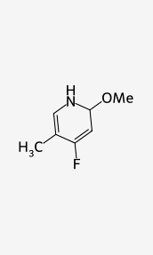 COC1C=C(F)C(C)=CN1